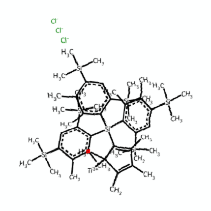 CC1=C(C)[C](C)([Ti+3])C([Si](c2c([Si](C)(C)C)cc([Si](C)(C)C)c(C)c2C)(c2c([Si](C)(C)C)cc([Si](C)(C)C)c(C)c2C)c2c([Si](C)(C)C)cc([Si](C)(C)C)c(C)c2C)=C1C.[Cl-].[Cl-].[Cl-]